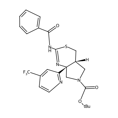 CC(C)(C)OC(=O)N1C[C@H]2CSC(NC(=O)c3ccccc3)=N[C@@]2(c2cc(C(F)(F)F)ccn2)C1